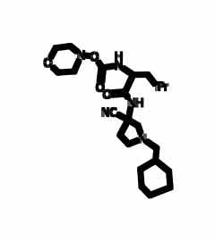 CC(C)CC(NC(=O)ON1CCOCC1)C(=O)NC1(C#N)CCN(CC2CCCCC2)C1